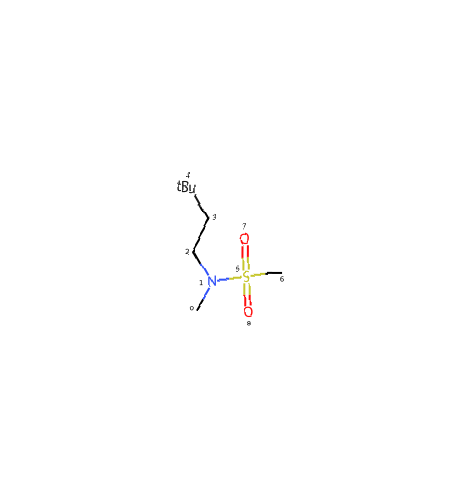 CN(CCC(C)(C)C)S(C)(=O)=O